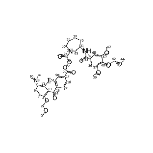 COCOc1ccc(N(C)C)c(F)c1C(=O)c1ccc(C(=O)OOC(=O)N2CCCCC(NC(=O)c3cc(OC)c(OCOC)c(OC)c3)C2)cc1